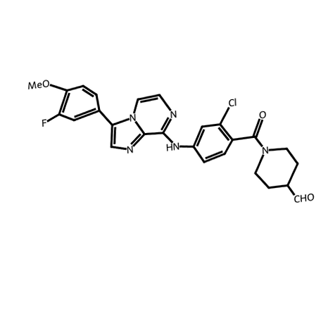 COc1ccc(-c2cnc3c(Nc4ccc(C(=O)N5CCC(C=O)CC5)c(Cl)c4)nccn23)cc1F